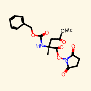 COC(=O)C[C@@](C)(NC(=O)OCc1ccccc1)C(=O)ON1C(=O)CCC1=O